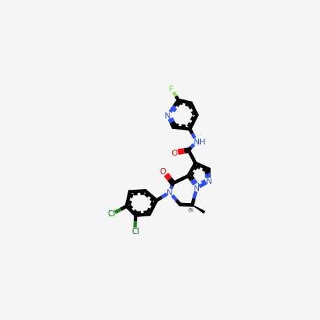 C[C@H]1CN(c2ccc(Cl)c(Cl)c2)C(=O)c2c(C(=O)Nc3ccc(F)nc3)cnn21